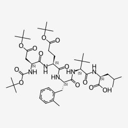 Cc1ccccc1C[C@H](NC(=O)[C@H](CCC(=O)OC(C)(C)C)NC(=O)[C@H](CC(=O)OC(C)(C)C)NC(=O)OC(C)(C)C)C(=O)N[C@H](C(=O)N[C@@H](CC(C)C)C(=O)O)C(C)(C)C